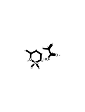 C=C(C)C(=O)O.CC1CCC[Si](C)(C)O1